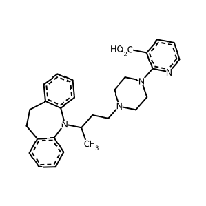 CC(CCN1CCN(c2ncccc2C(=O)O)CC1)N1c2ccccc2CCc2ccccc21